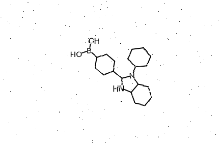 OB(O)C1CCC(C2NC3CCCCC3N2C2CCCCC2)CC1